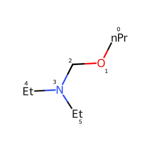 CCCOCN(CC)CC